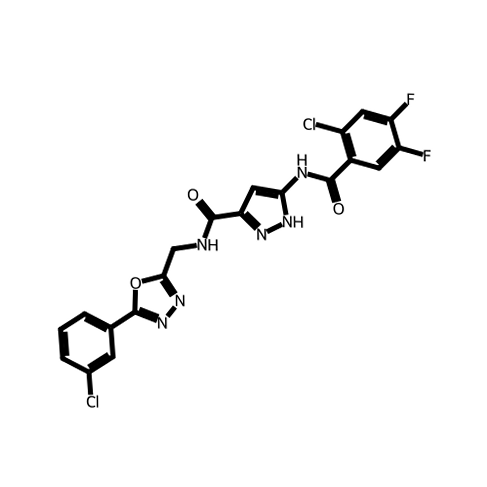 O=C(NCc1nnc(-c2cccc(Cl)c2)o1)c1cc(NC(=O)c2cc(F)c(F)cc2Cl)[nH]n1